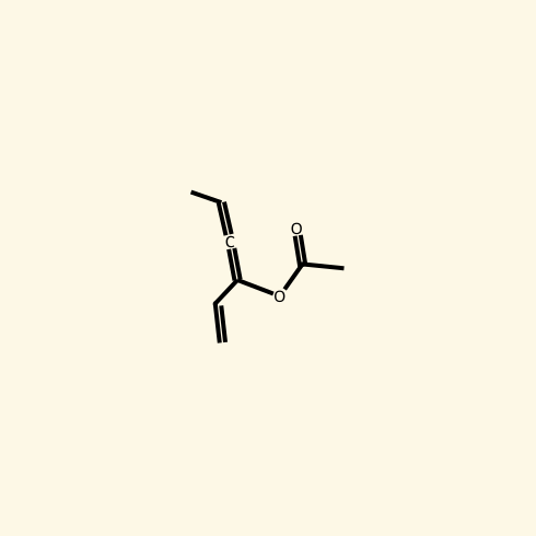 C=CC(=C=CC)OC(C)=O